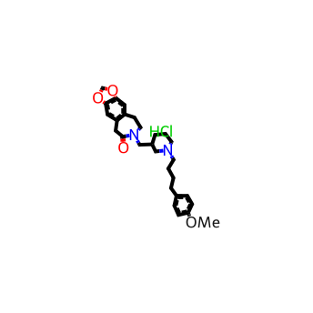 COc1ccc(CCCCN2CCCC(CN3CCc4cc5c(cc4CC3=O)OCO5)C2)cc1.Cl